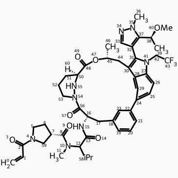 C=CC(=O)N1CC[C@H](C(=O)N(C)C(C(=O)N[C@H]2Cc3cccc(c3)-c3ccc4c(c3)c(c(-c3cnn(C)c3[C@H](C)OC)n4CC(F)(F)F)C[C@@H](C)OC(=O)[C@@H]3CCCN(N3)C2=O)C(C)C)C1